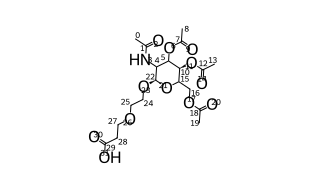 CC(=O)NC1C(OC(C)=O)[C@@H](OC(C)=O)C(COC(C)=O)O[C@H]1OCCOCCC(=O)O